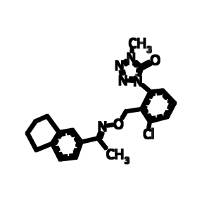 CC(=NOCc1c(Cl)cccc1-n1nnn(C)c1=O)c1ccc2c(c1)CCCC2